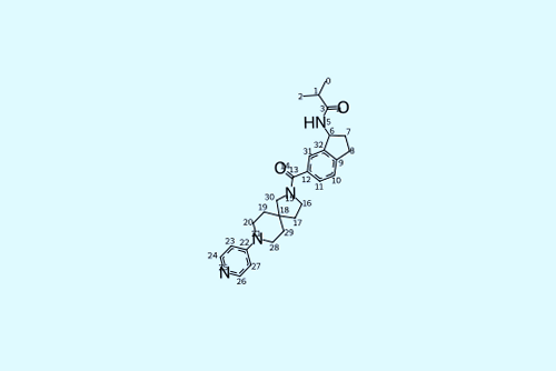 CC(C)C(=O)NC1CCc2ccc(C(=O)N3CCC4(CCN(c5ccncc5)CC4)C3)cc21